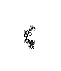 COC(=O)C1CC(n2cnc3ccc(-c4cncc(NS(=O)(=O)c5sc(C)nc5C)c4)cc3c2=O)C1